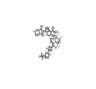 CC(=O)OC(C(=O)Nc1ccc2c(N3C(=O)c4ccccc4C3=O)nsc2c1C(N)=O)C1OCCN(c2ccn(-c3ccnc(C(F)(F)F)c3)n2)C1=O